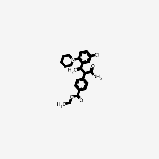 C=C(c1cc(Cl)ccc1N1CCCCC1)C(C(N)=O)c1ccc(C(=O)OCC)cc1